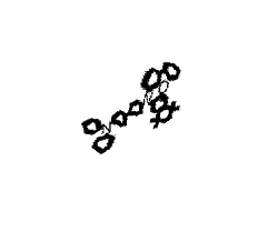 CC1(C)CCC(C)(C)c2cc(N(c3ccc(-c4ccc(N(c5ccccc5)c5ccccc5)cc4)cc3)c3cccc4c3oc3ccccc34)ccc21